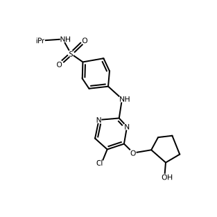 CC(C)NS(=O)(=O)c1ccc(Nc2ncc(Cl)c(OC3CCCC3O)n2)cc1